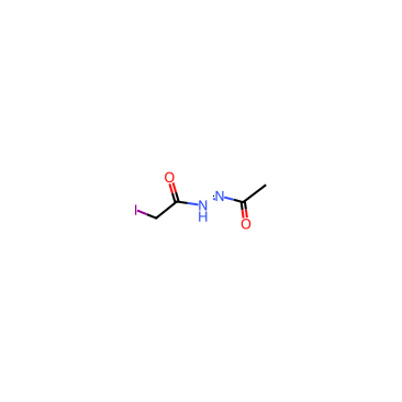 CC(=O)[N]NC(=O)CI